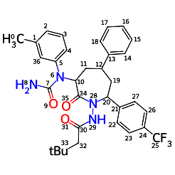 Cc1cccc(N(C(N)=O)C2CC(c3ccccc3)CC(c3ccc(C(F)(F)F)cc3)N(NC(=O)CC(C)(C)C)C2=O)c1